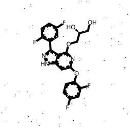 OC[C@H](O)COc1nc(Oc2ccc(F)cc2F)cc2[nH]nc(-c3cc(F)ccc3F)c12